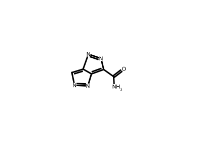 NC(=O)C1=C2N=NC=C2N=N1